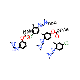 CCCCN(C)/C=N/c1ccc(Cl)cc1C.CNC(=O)Oc1ccc(N=CN(C)C)c(C)c1.CNC(=O)Oc1cccc(/N=C\N(C)C)c1.Cc1cc(Cl)ccc1N=CN(C)C